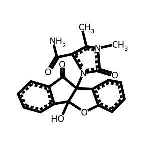 Cc1c(C(N)=O)n(C23C(=O)c4ccccc4C2(O)Oc2ccccc23)c(=O)n1C